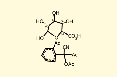 CC(=O)OC(C#N)(C(C)=O)c1ccccc1C(C)=O.O=C(O)[C@H]1OC(O)[C@H](O)[C@@H](O)[C@@H]1O